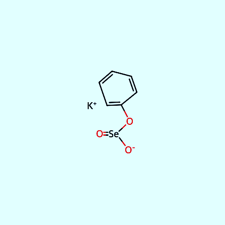 O=[Se]([O-])Oc1ccccc1.[K+]